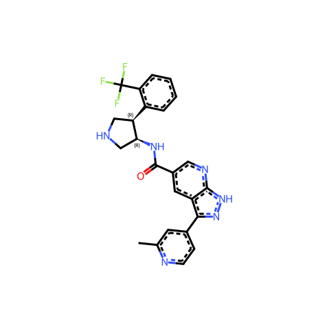 Cc1cc(-c2n[nH]c3ncc(C(=O)N[C@H]4CNC[C@H]4c4ccccc4C(F)(F)F)cc23)ccn1